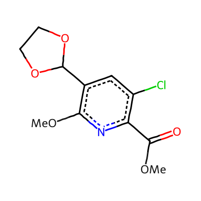 COC(=O)c1nc(OC)c(C2OCCO2)cc1Cl